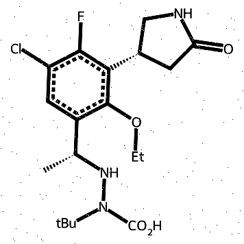 CCOc1c([C@@H](C)NN(C(=O)O)C(C)(C)C)cc(Cl)c(F)c1[C@@H]1CNC(=O)C1